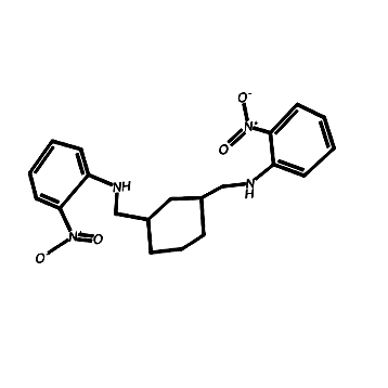 O=[N+]([O-])c1ccccc1NCC1CCCC(CNc2ccccc2[N+](=O)[O-])C1